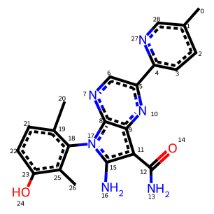 Cc1ccc(-c2cnc3c(n2)c(C(N)=O)c(N)n3-c2c(C)ccc(O)c2C)nc1